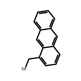 [Se]Cc1cccc2cc3ccccc3cc12